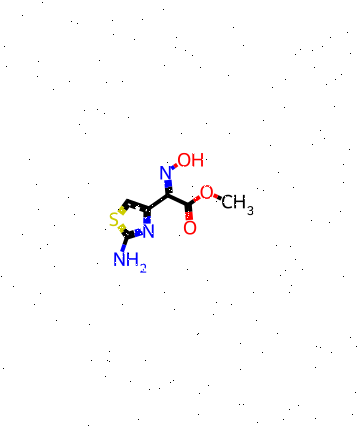 COC(=O)C(=NO)c1csc(N)n1